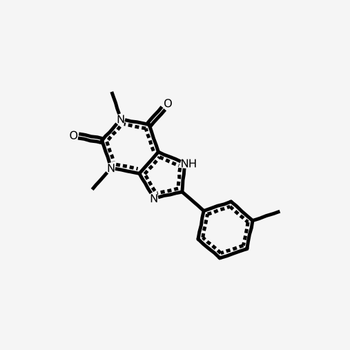 Cc1cccc(-c2nc3c([nH]2)c(=O)n(C)c(=O)n3C)c1